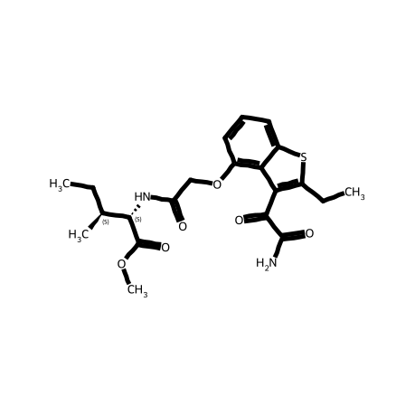 CCc1sc2cccc(OCC(=O)N[C@H](C(=O)OC)[C@@H](C)CC)c2c1C(=O)C(N)=O